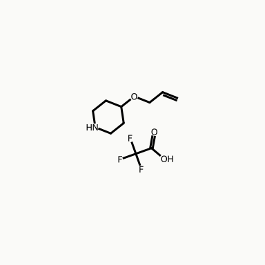 C=CCOC1CCNCC1.O=C(O)C(F)(F)F